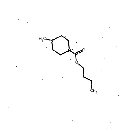 CCCCOC(=O)N1CCN(C)CC1